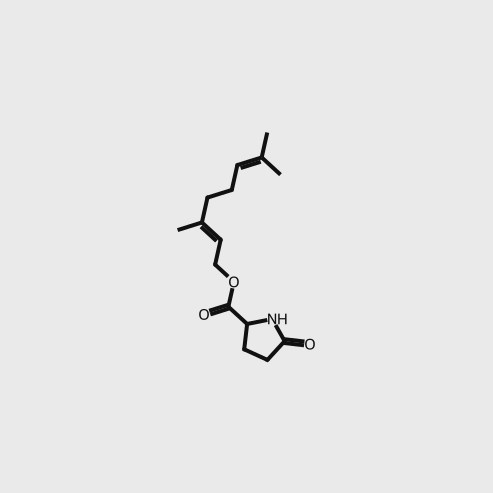 CC(C)=CCC/C(C)=C/COC(=O)C1CCC(=O)N1